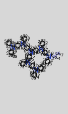 C=C(/C=C(C)\C=C/C)N(c1ccccc1)c1ccc(N(c2ccccc2)c2ccc(N(c3ccc(N(c4ccccc4)c4ccc(N(c5ccccc5)c5cccc(C)c5)cc4)cc3)c3ccc(N(c4ccccc4)c4ccc(N(c5ccccc5)c5cccc(C)c5)cc4)cc3)cc2)cc1